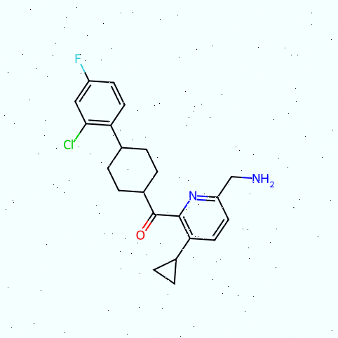 NCc1ccc(C2CC2)c(C(=O)C2CCC(c3ccc(F)cc3Cl)CC2)n1